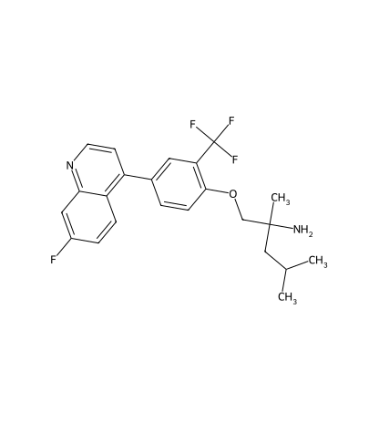 CC(C)CC(C)(N)COc1ccc(-c2ccnc3cc(F)ccc23)cc1C(F)(F)F